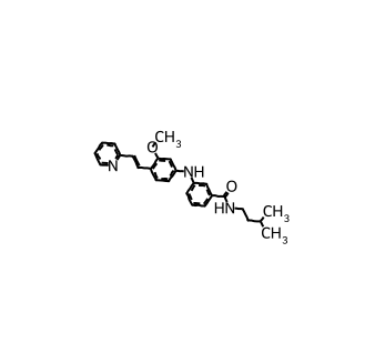 COc1cc(Nc2cccc(C(=O)NCCC(C)C)c2)ccc1C=Cc1ccccn1